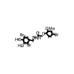 COc1cc(Br)ccc1OCC(=O)N/N=C/c1cc(Br)c(O)c(O)c1Br